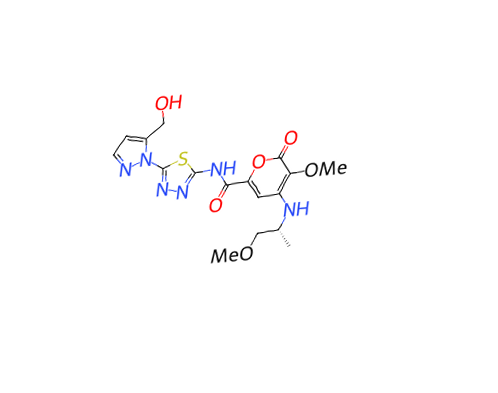 COC[C@@H](C)Nc1cc(C(=O)Nc2nnc(-n3nccc3CO)s2)oc(=O)c1OC